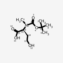 CN(C(=O)OC(C)(C)C)[C@@H](CCO)C(=O)O